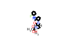 CC(C)(O)C(=O)N1CC[C@@H]2CN(c3cccc4c3cnn4-c3ccccc3F)C(=O)[C@@H]21